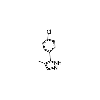 Cc1[c]n[nH]c1-c1ccc(Cl)cc1